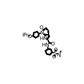 CC(C)Oc1ccc(-n2c(=O)ccc3cc(C(=O)Nc4cccc(S(=O)(=O)N(C)C)c4)[nH]c32)cc1